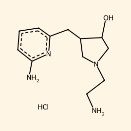 Cl.NCCN1CC(O)C(Cc2cccc(N)n2)C1